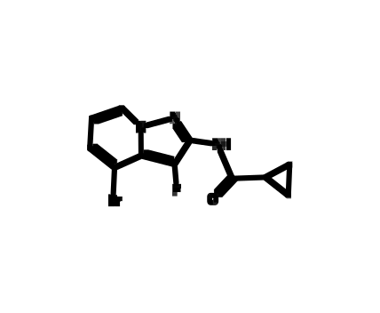 O=C(Nc1nn2cccc(Br)c2c1F)C1CC1